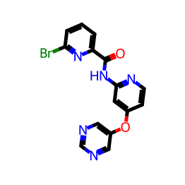 O=C(Nc1cc(Oc2cncnc2)ccn1)c1cccc(Br)n1